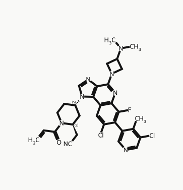 C=CC(=O)N1CC[C@H](n2cnc3c(N4CC(N(C)C)C4)nc4c(F)c(-c5cncc(Cl)c5C)c(Cl)cc4c32)C[C@H]1CC#N